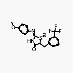 COc1ccc(/N=C2\NC(=O)C(Cc3cccc(C(F)(F)F)c3)[S+]2[O-])cc1